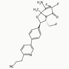 CC1(C(N)=O)O[C@H](c2ccc(-c3ccc([CH]CC#N)nc3)cc2)[C@@H](CF)N1C(=O)C(F)F